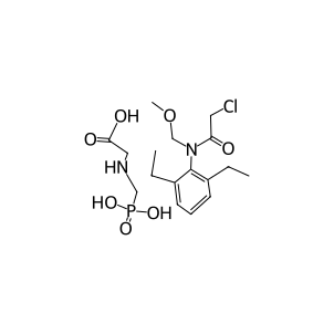 CCc1cccc(CC)c1N(COC)C(=O)CCl.O=C(O)CNCP(=O)(O)O